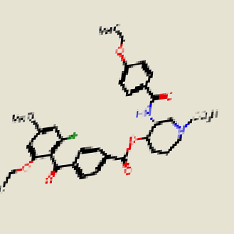 COCOc1ccc(C(=O)N[C@@H]2CN(C(=O)O)CCC[C@H]2OC(=O)c2ccc(C(=O)c3c(F)cc(OC)cc3OCOC)cc2)cc1